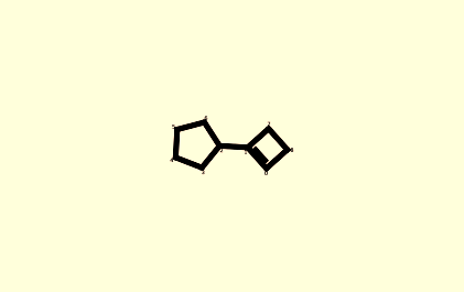 C1=C([C]2CCCC2)CC1